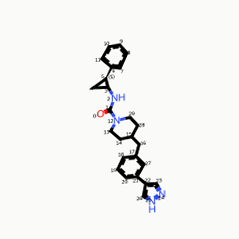 O=C(NC1C[C@H]1c1ccccc1)N1CCC(Cc2cccc(-c3cn[nH]c3)c2)CC1